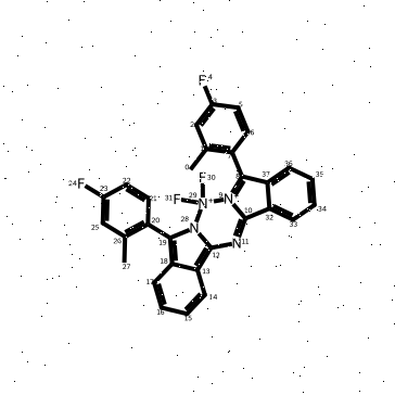 Cc1cc(F)ccc1C1=[N+]2C(=Nc3c4ccccc4c(-c4ccc(F)cc4C)n3[N+]2(F)F)c2ccccc21